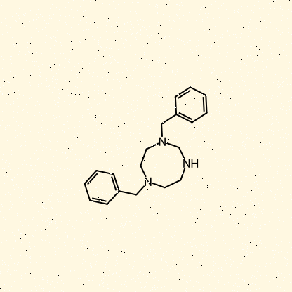 c1ccc(CN2CCNCN(Cc3ccccc3)CC2)cc1